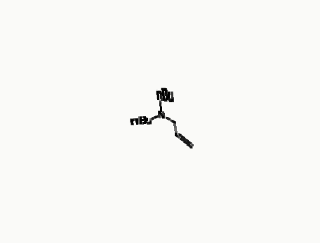 C=CCN(CCCC)CCCC